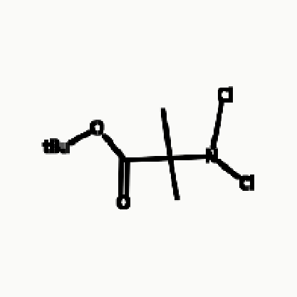 CC(C)(C)OC(=O)C(C)(C)N(Cl)Cl